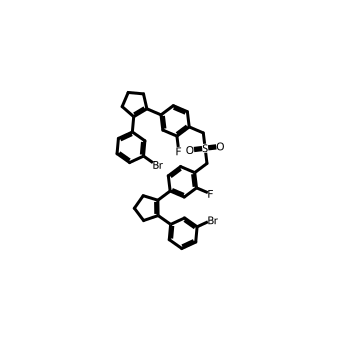 O=S(=O)(Cc1ccc(C2=C(c3cccc(Br)c3)CCC2)cc1F)Cc1ccc(C2=C(c3cccc(Br)c3)CCC2)cc1F